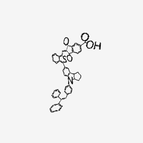 O=C(O)c1ccc2c(c1)C(=O)/C(=C/c1sc(-c3ccc4c(c3)C3CCCC3N4c3ccc(C=C(c4ccccc4)c4ccccc4)cc3)c3ccccc13)C2=O